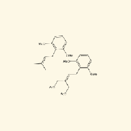 COc1cccc(OC)c1CC=C(C)C.COc1cccc(OC)c1CC=C(COC(C)=O)COC(C)=O